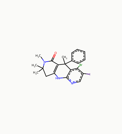 CN1C(=O)C2=C(CC1(C)C)Nc1ncc(I)c(Br)c1C2(C)c1ccccc1